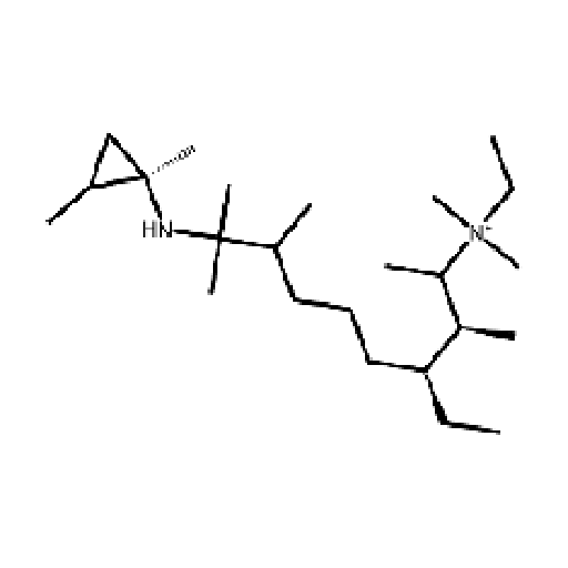 CC[C@@H](CCCC(C)C(C)(C)N[C@]1(C)CC1C)[C@H](C)C(C)[N+](C)(C)CC